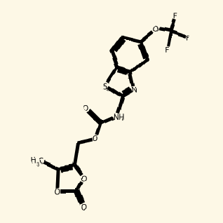 Cc1oc(=O)oc1COC(=O)Nc1nc2cc(OC(F)(F)F)ccc2s1